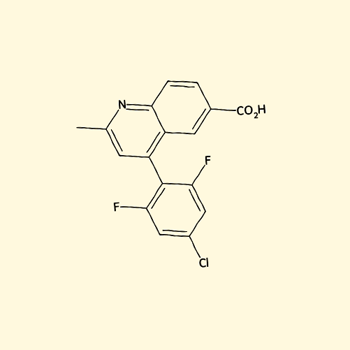 Cc1cc(-c2c(F)cc(Cl)cc2F)c2cc(C(=O)O)ccc2n1